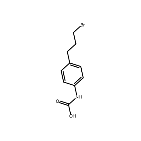 O=C(O)Nc1ccc(CCCBr)cc1